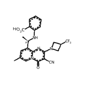 Cc1cc([C@@H](C)Nc2ccccc2C(=O)O)c2nc(N3CC(C(F)(F)F)C3)c(C#N)c(=O)n2c1